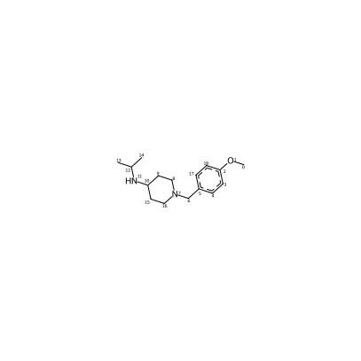 COc1ccc(CN2CCC(NC(C)C)CC2)cc1